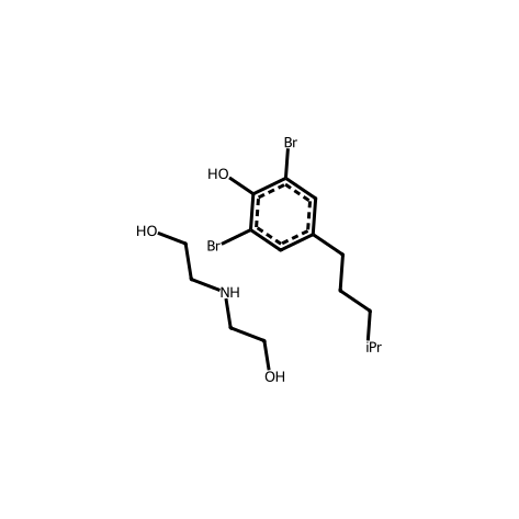 CC(C)CCCc1cc(Br)c(O)c(Br)c1.OCCNCCO